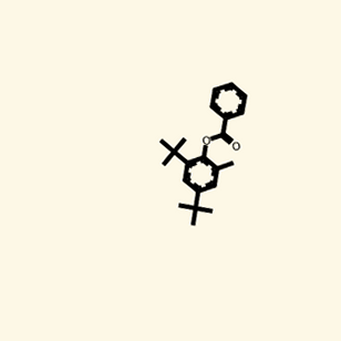 Cc1cc(C(C)(C)C)cc(C(C)(C)C)c1OC(=O)c1ccccc1